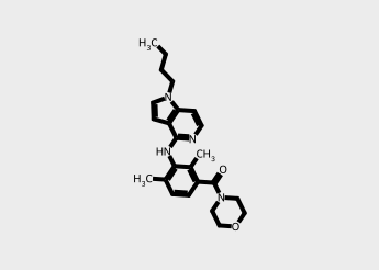 CCCCn1ccc2c(Nc3c(C)ccc(C(=O)N4CCOCC4)c3C)nccc21